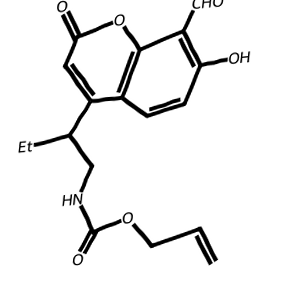 C=CCOC(=O)NCC(CC)c1cc(=O)oc2c(C=O)c(O)ccc12